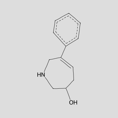 OC1CC=C(c2ccccc2)CNC1